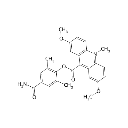 COc1ccc2c(c1)c(C(=O)Oc1c(C)cc(C(N)=O)cc1C)c1cc(OC)ccc1[n+]2C